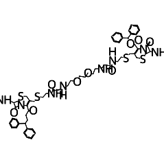 CC(=O)NC1C(=O)N2C(C(=O)CCC(c3ccccc3)c3ccccc3)=C(CSCCNC(=O)CNCCOCCOCCNCC(=O)NCCSCC3=C(C(=O)OC(c4ccccc4)c4ccccc4)N4C(=O)C(NC(C)=O)C4SC3)CSC12